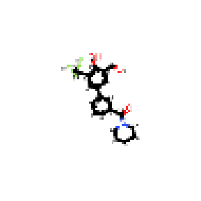 O=Cc1cc(-c2cccc(C(=O)N3CCCCC3)c2)cc(C(F)(F)F)c1O